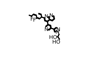 C=CC(/C=C(F)\C=C/C(C)F)c1cc(-c2cncc(-c3cnn(CC(O)CO)c3)c2)c2cccnc2n1